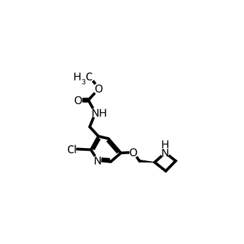 COC(=O)NCc1cc(OC[C@@H]2CCN2)cnc1Cl